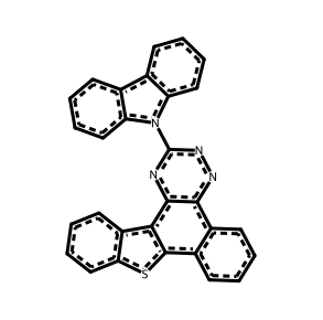 c1ccc2c(c1)sc1c3ccccc3c3nnc(-n4c5ccccc5c5ccccc54)nc3c21